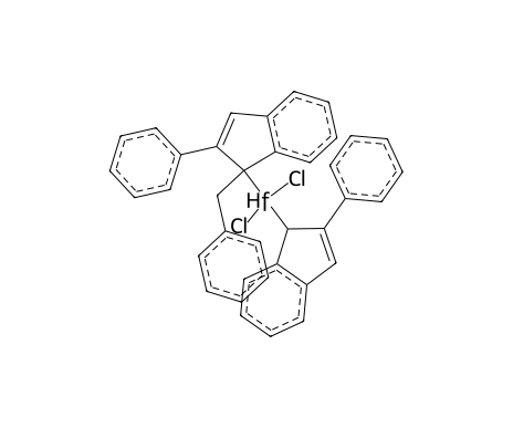 [Cl][Hf]([Cl])([CH]1C(c2ccccc2)=Cc2ccccc21)[C]1(Cc2ccccc2)C(c2ccccc2)=Cc2ccccc21